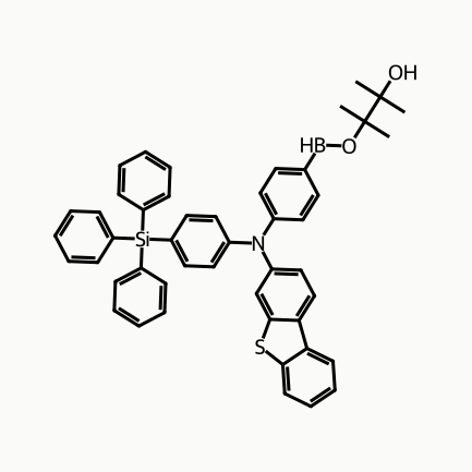 CC(C)(O)C(C)(C)OBc1ccc(N(c2ccc([Si](c3ccccc3)(c3ccccc3)c3ccccc3)cc2)c2ccc3c(c2)sc2ccccc23)cc1